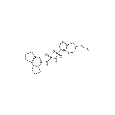 CCC1COc2c(S(=O)(=O)NC(=O)Nc3cc4c(c5c3CCC5)CCC4)cnn2C1